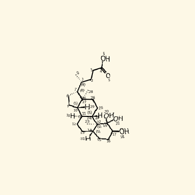 C[C@H](CCC(=O)O)[C@H]1CC[C@H]2[C@@H]3CC[C@H]4CCC(O)C(O)(O)[C@]4(C)[C@H]3CC[C@]12C